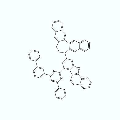 c1ccc(-c2cccc(-c3nc(-c4ccccc4)nc(-c4cc(C5CCc6cc7ccccc7cc6-c6cc7ccccc7cc65)cc5oc6c7ccccc7ccc6c45)n3)c2)cc1